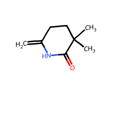 C=C1CCC(C)(C)C(=O)N1